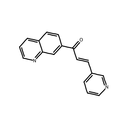 O=C(C=Cc1cccnc1)c1ccc2cccnc2c1